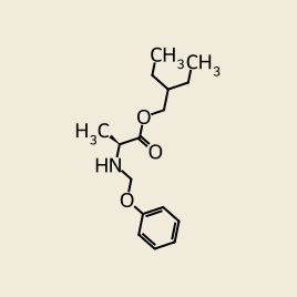 CCC(CC)COC(=O)[C@H](C)NCOc1ccccc1